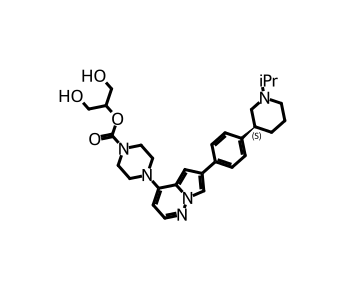 CC(C)N1CCC[C@@H](c2ccc(-c3cc4c(N5CCN(C(=O)OC(CO)CO)CC5)ccnn4c3)cc2)C1